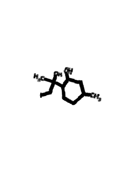 CC1CCC(C(C)(O)CI)C(O)C1